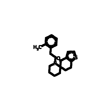 Cc1ccccc1CCN1CCCCC12CCc1sccc1C2=O